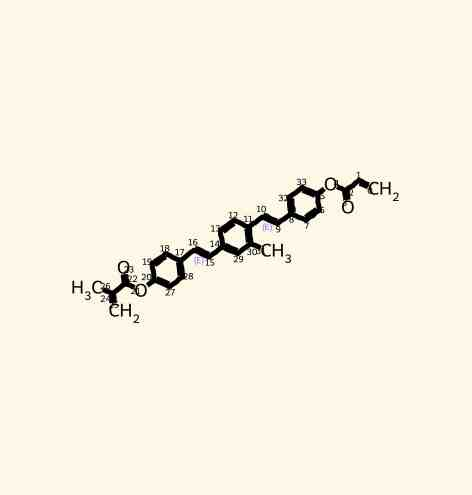 C=CC(=O)Oc1ccc(/C=C/c2ccc(/C=C/c3ccc(OC(=O)C(=C)C)cc3)cc2C)cc1